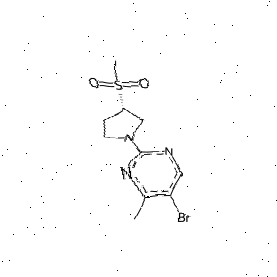 Cc1nc(N2CC[C@H](S(C)(=O)=O)C2)ncc1Br